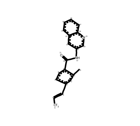 Cc1cc(C=CC(F)(F)F)ccc1C(=O)Nc1cnc2ccccc2c1